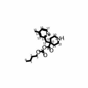 CCCCOC(=O)OC(=O)C1(Cc2cc(C)ccn2)CCNCC1